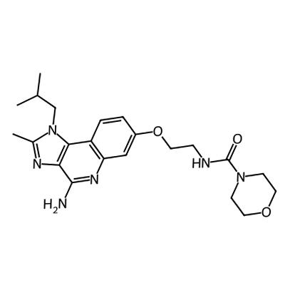 Cc1nc2c(N)nc3cc(OCCNC(=O)N4CCOCC4)ccc3c2n1CC(C)C